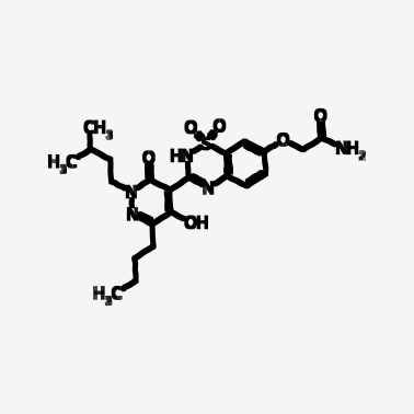 CCCCc1nn(CCC(C)C)c(=O)c(C2=Nc3ccc(OCC(N)=O)cc3S(=O)(=O)N2)c1O